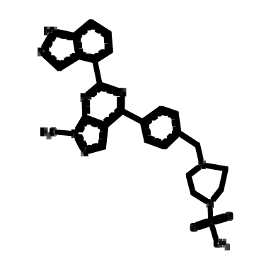 Cn1ncc2c(-c3ccc(CN4CCN(S(C)(=O)=O)CC4)cc3)nc(-c3cccc4[nH]ncc34)nc21